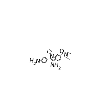 CCN(CC)C(=O)c1ccc2c(N)c(-c3ccc(N)cc3)n(C3CCC3)c2c1